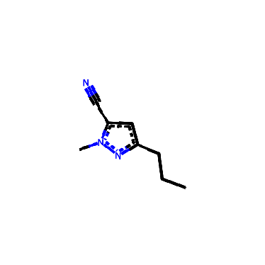 CCCc1cc(C#N)n(C)n1